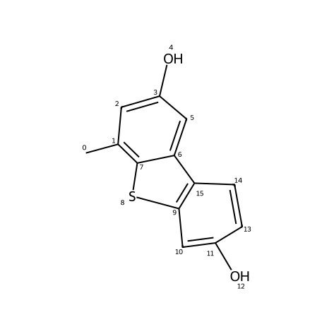 Cc1cc(O)cc2c1sc1cc(O)ccc12